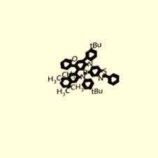 CC(C)(C)c1ccc(N2B3c4cc5nc(-c6ccccc6)sc5cc4-n4c5ccc(C(C)(C)C)cc5c5c6oc7ccccc7c6c(c3c54)-c3cc4c(cc32)C(C)(C)CCC4(C)C)cc1